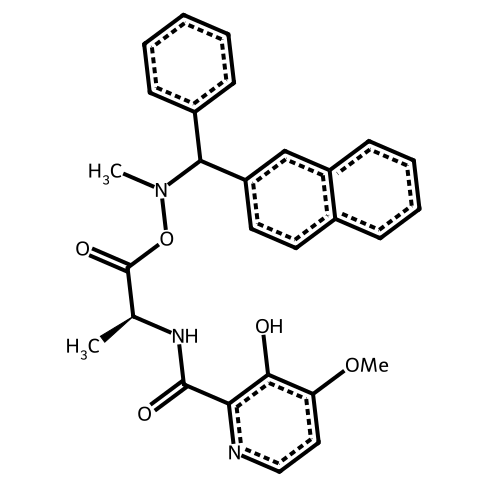 COc1ccnc(C(=O)N[C@@H](C)C(=O)ON(C)C(c2ccccc2)c2ccc3ccccc3c2)c1O